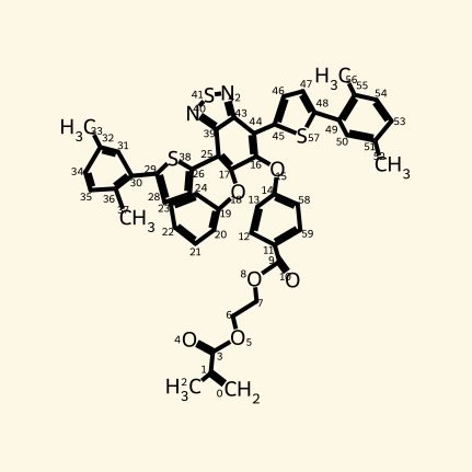 C=C(C)C(=O)OCCOC(=O)c1ccc(Oc2c(Oc3ccccc3)c(-c3ccc(-c4cc(C)ccc4C)s3)c3nsnc3c2-c2ccc(-c3cc(C)ccc3C)s2)cc1